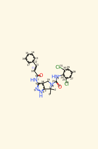 CC1(C)c2[nH]nc(NC(=O)/C=C/c3ccccc3)c2CN1C(=O)Nc1c(Cl)cccc1Cl